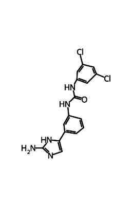 Nc1ncc(-c2cccc(NC(=O)Nc3cc(Cl)cc(Cl)c3)c2)[nH]1